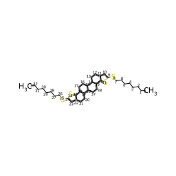 CCCCCCCCSc1cc2ccc3c4ccc5c(ccc6cc(SCCCCCCCC)sc65)c4ccc3c2s1